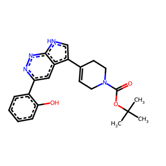 CC(C)(C)OC(=O)N1CC=C(c2c[nH]c3nnc(-c4ccccc4O)cc23)CC1